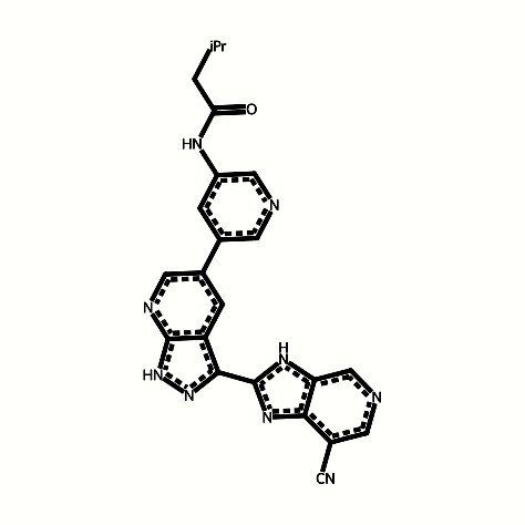 CC(C)CC(=O)Nc1cncc(-c2cnc3[nH]nc(-c4nc5c(C#N)cncc5[nH]4)c3c2)c1